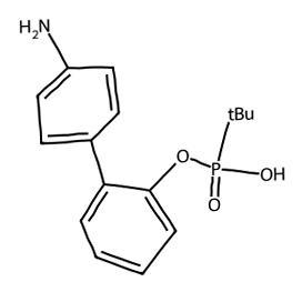 CC(C)(C)P(=O)(O)Oc1ccccc1-c1ccc(N)cc1